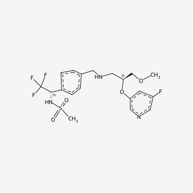 COC[C@H](CNCc1ccc([C@H](NS(C)(=O)=O)C(F)(F)F)cc1)Oc1cncc(F)c1